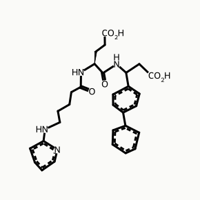 O=C(O)CC[C@H](NC(=O)CCCCNc1ccccn1)C(=O)NC(CC(=O)O)c1ccc(-c2ccccc2)cc1